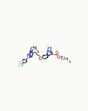 CCOC(=O)Cc1c[nH]c2cc(OCCCc3cc(-c4ccc(C(F)(F)F)cc4)nn3C)ccc12